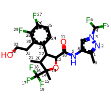 Cc1nn(C(F)F)cc1NC(=O)C1OC(C)(C(F)(F)F)C(C)C1c1ccc(F)c(F)c1CCO